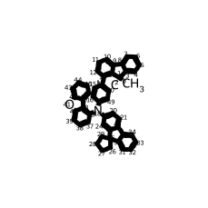 CC1(C)c2ccccc2-c2cccc(-c3ccc(N(c4ccc5c(c4)C4(CCCC4)c4ccccc4-5)c4cccc5oc6ccccc6c45)cc3)c21